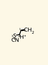 C=CCSC#N.[H+]